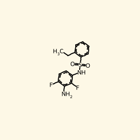 CCc1ccccc1S(=O)(=O)Nc1ccc(F)c(N)c1F